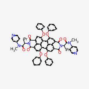 CC(C)C(C(=O)N(C)c1ccncc1)N1C(=O)c2cc(Oc3ccccc3)c3c4c(Oc5ccccc5)cc5c6c(cc(Oc7ccccc7)c(c7c(Oc8ccccc8)cc(c2c37)C1=O)c64)C(=O)N(C(C(=O)N(C)c1ccncc1)C(C)C)C5=O